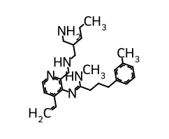 C=Cc1ccnc(CNCC(CN)CCC)c1/N=C(/CCCc1cccc(C)c1)NC